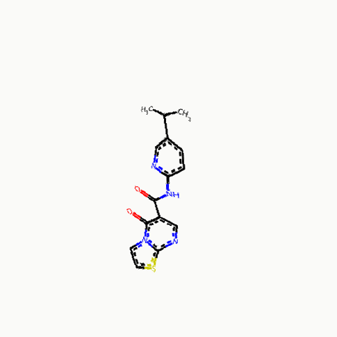 CC(C)c1ccc(NC(=O)c2cnc3sccn3c2=O)nc1